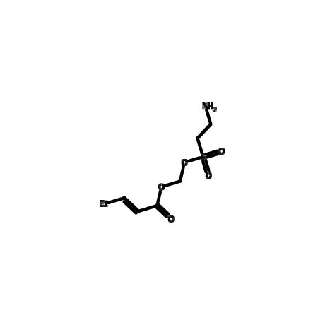 CCC=CC(=O)OCOS(=O)(=O)CCN